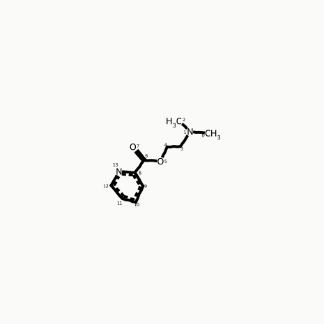 CN(C)CCOC(=O)c1ccccn1